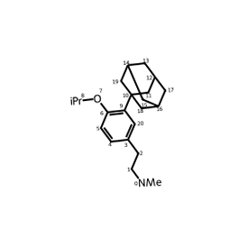 CNCCc1ccc(OC(C)C)c(C23CC4CC(CC(C4)C2)C3)c1